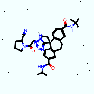 CC(C)NC(=O)c1ccc2c(c1)CCc1cc(C(=O)NC(C)(C)C)ccc1C2(C[C@@H](C)NCC(=O)N1CCCC1C#N)c1nnn[nH]1